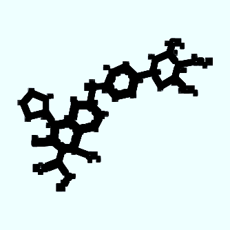 C=C(OCC)c1c(C)c2cnc(Nc3ccc(N4CC(C)N(C(=O)O)C(C)C4)cn3)nc2n(C2CCCC2)c1=O